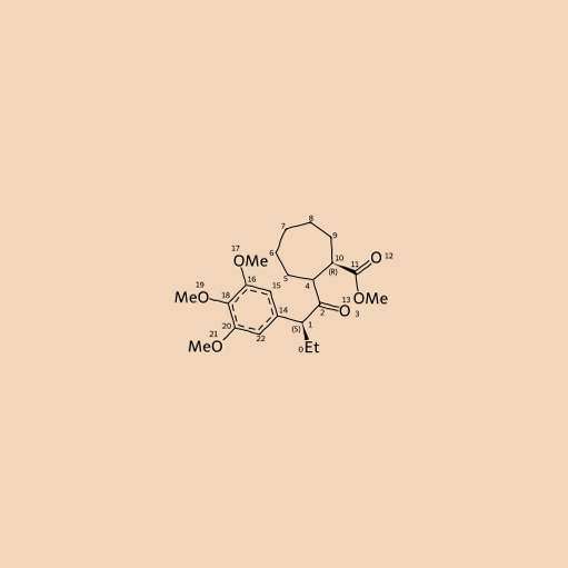 CC[C@H](C(=O)C1CCCCC[C@H]1C(=O)OC)c1cc(OC)c(OC)c(OC)c1